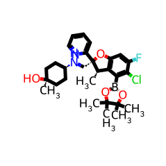 C[C@H]1c2c(cc(F)c(Cl)c2B2OC(C)(C)C(C)(C)O2)O[C@]1(CN[C@H]1CC[C@](C)(O)CC1)c1ccccn1